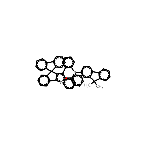 CC1(C)c2ccccc2-c2ccc(N(c3ccccc3)c3ccccc3-c3c(-c4ccccc4)oc4c3C3(c5ccccc5-c5ccccc53)c3ccccc3-4)cc21